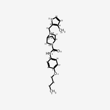 CCCCOc1ccc(NC(=O)N2CC3CC2CN3Cc2sccc2C)cc1